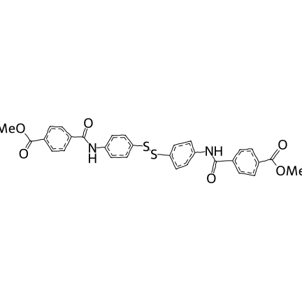 COC(=O)c1ccc(C(=O)Nc2ccc(SSc3ccc(NC(=O)c4ccc(C(=O)OC)cc4)cc3)cc2)cc1